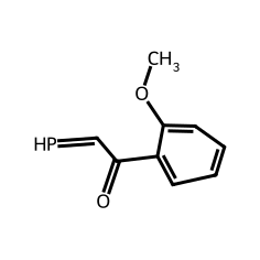 COc1ccccc1C(=O)C=P